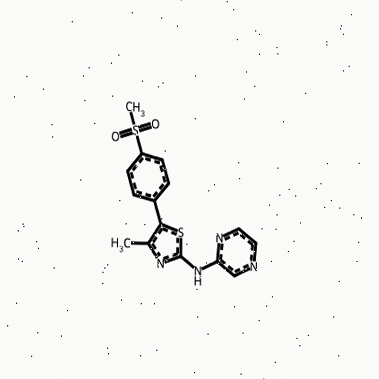 Cc1nc(Nc2cnccn2)sc1-c1ccc(S(C)(=O)=O)cc1